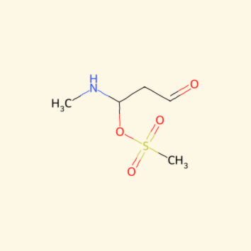 CNC(CC=O)OS(C)(=O)=O